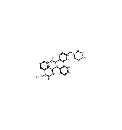 O=CC1NN=C2c3c(cccc31)NC(c1ccc(CN3CCNCC3)cc1)C2c1ccccc1